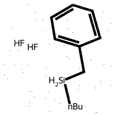 CCCC[SiH2]Cc1ccccc1.F.F